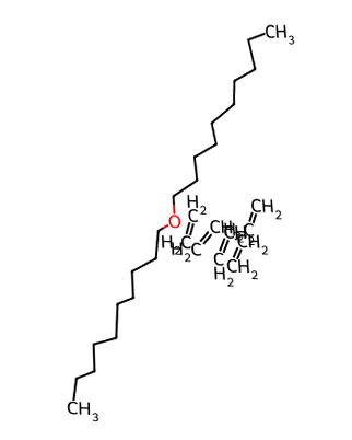 C=C.C=C.C=C.C=C.C=C.CCCCCCCCCCOCCCCCCCCCC